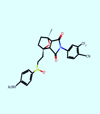 CC(=O)Nc1ccc([S+]([O-])CC[C@@]23CC[C@](C)(O2)C2C(=O)N(c4ccc(C#N)c(C(F)(F)F)c4)C(=O)C23)cc1